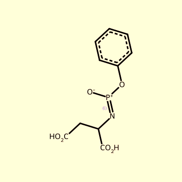 O=C(O)CC(/N=[P+](\[O-])Oc1ccccc1)C(=O)O